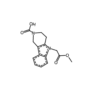 COC(=O)Cn1c2c(c3ccccc31)CN(C(=O)O)CC2